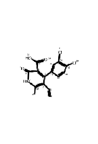 C=Cc1c(C)[nH]c(=O)c(C(=O)O)c1-c1ccc(Cl)c(Cl)c1